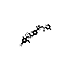 CCc1cc(C#N)cc(C)c1C(=O)NC(Cc1ccc(-c2nnc(CNc3cc(C)ccn3)s2)cc1)C(=O)O